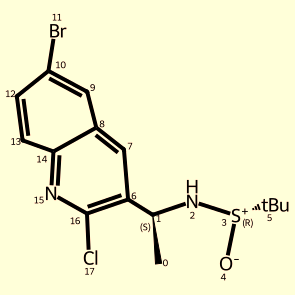 C[C@H](N[S@@+]([O-])C(C)(C)C)c1cc2cc(Br)ccc2nc1Cl